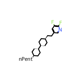 CCCCC[C@H]1CC[C@H]([C@H]2CC[C@H](CCc3cnc(F)c(F)c3)CC2)CC1